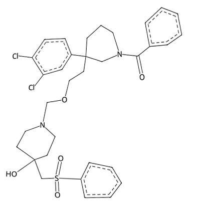 O=C(c1ccccc1)N1CCCC(CCOCN2CCC(O)(CS(=O)(=O)c3ccccc3)CC2)(c2ccc(Cl)c(Cl)c2)C1